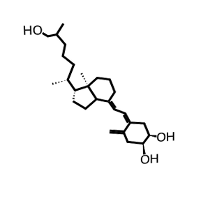 C=C1C[C@H](O)[C@H](O)C/C1=C/C=C1CCC[C@@]2(C)C1CC[C@@H]2[C@H](C)CCCC(C)CO